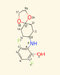 Oc1c(F)ccc(F)c1NC1CCC2(CC1)OCCO2